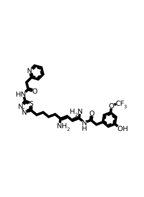 N/C(=C\C=C(/N)NC(=O)Cc1cc(O)cc(OC(F)(F)F)c1)CCCCc1nnc(NC(=O)Cc2ccccn2)s1